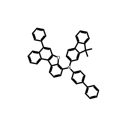 CC1(C)c2ccccc2-c2ccc(N(c3ccc(-c4ccccc4)cc3)c3cccc4c3oc3cc(-c5ccccc5)c5ccccc5c34)cc21